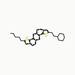 CCCCCc1cc2ccc3cc4c(ccc5cc(CCC6CCCCC6)sc54)cc3c2s1